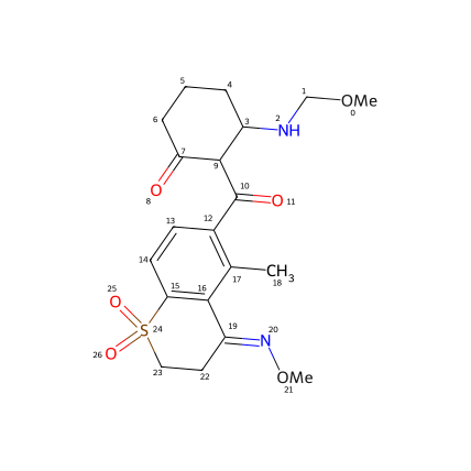 COCNC1CCCC(=O)C1C(=O)c1ccc2c(c1C)C(=NOC)CCS2(=O)=O